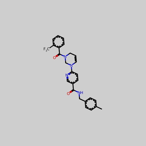 Cc1ccc(CNC(=O)c2ccc(N3C=CCN(C(=O)c4ccccc4C(F)(F)F)C3)nc2)cc1